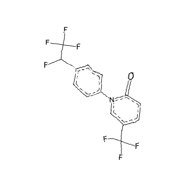 O=c1ccc(C(F)(F)F)cn1-c1ccc(C(F)C(F)(F)F)cc1